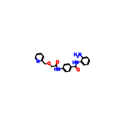 Nc1ccccc1NC(=O)c1ccc(NC(=O)COCc2ccccn2)cc1